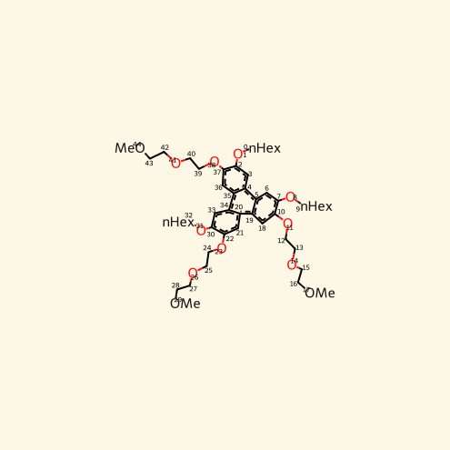 CCCCCCOc1cc2c3cc(OCCCCCC)c(OCCOCCOC)cc3c3cc(OCCOCCOC)c(OCCCCCC)cc3c2cc1OCCOCCOC